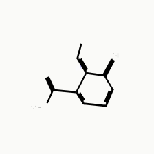 C/C=C1\C(=N)C=CC=C1C(=O)OC